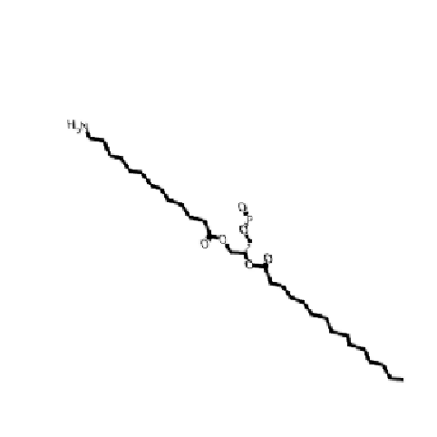 CCCCCCCCCCCCCCC(=O)O[C@@H](COP=O)COC(=O)CCCCCCCCCCCCN